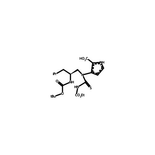 CCOC(=O)NC(=S)N(C[C@H](CC(C)C)NC(=O)OC(C)(C)C)c1cc[nH]c1C(=O)O